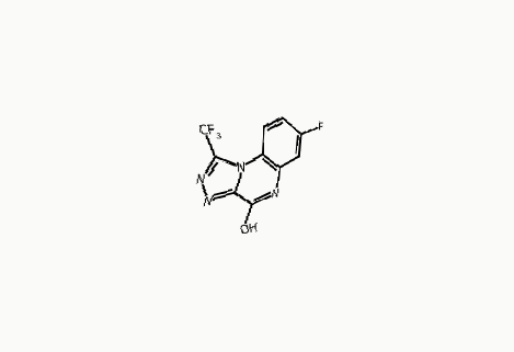 Oc1nc2cc(F)ccc2n2c(C(F)(F)F)nnc12